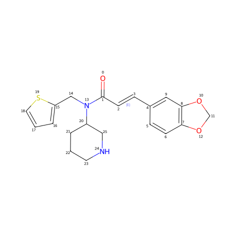 O=C(/C=C/c1ccc2c(c1)OCO2)N(Cc1cccs1)C1CCCNC1